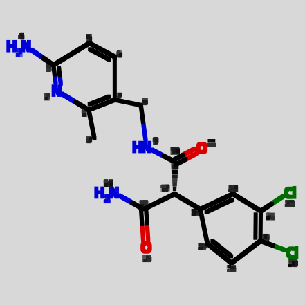 Cc1nc(N)ccc1CNC(=O)[C@@H](C(N)=O)c1ccc(Cl)c(Cl)c1